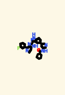 O=C(Nc1cncc(-c2ccc3[nH]nc(-c4nc5c(-c6cccc(F)c6)nccc5[nH]4)c3c2)c1)C1CCCCC1